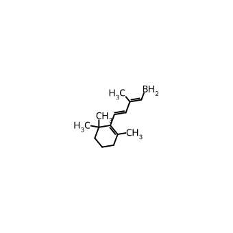 B/C=C(C)/C=C/C1=C(C)CCCC1(C)C